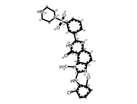 Cn1c(Nc2c(Cl)cccc2Cl)nc2ccc3nc(-c4cccc(S(=O)(=O)N5CCNCC5)c4)[nH]c(=O)c3c21